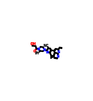 C=Cc1cc(-c2cc(C#N)c(N3CCN(C(=O)CCO)[C@H](C(C)C)C3)nc2C2CC2)c2cccnc2n1